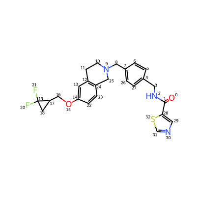 O=C(NCc1ccc(CN2CCc3cc(OCC4CC4(F)F)ccc3C2)cc1)c1cncs1